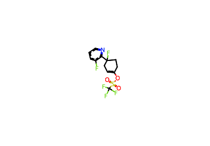 O=S(=O)(OC1=CCC(F)(c2ncccc2F)CC1)C(F)(F)F